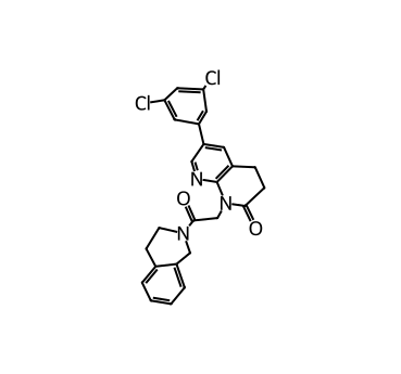 O=C(CN1C(=O)CCc2cc(-c3cc(Cl)cc(Cl)c3)cnc21)N1CCc2ccccc2C1